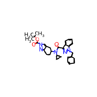 CC(C)(C)OC(=O)n1cc2c(n1)CCC(N(C(=O)c1nn(Cc3ccccc3)c3ccccc13)C1CC1)C2